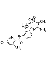 Cc1cc(Cl)cnc1C(=O)Nc1cccc([C@@]2(C)N=C(N)N(C)C(=O)C2(C)C)c1